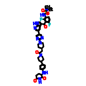 CCN(C)S(=O)(=O)Nc1ccc(F)c(C(=O)c2c[nH]c3ncc(-c4cnc(N5CCC(CC(=O)N6CCC(c7ccc(NC8CCC(=O)NC8=O)cc7)CC6)CC5)nc4)cc23)c1F